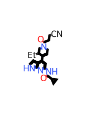 CCC1CN(C(=O)CCC#N)CC=C1c1cc(NC(=O)C2CC2)nc2[nH]ccc12